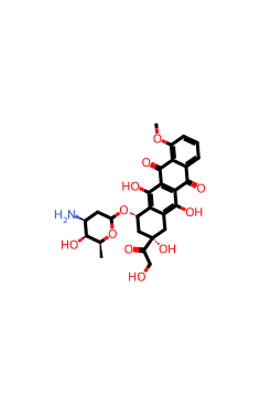 COc1cccc2c1C(=O)c1c(O)c3c(c(O)c1C2=O)C[C@@](O)(C(=O)CO)C[C@@H]3OC1C[C@H](N)[C@H](O)[C@H](C)O1